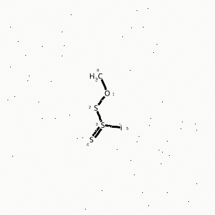 COSS(=S)I